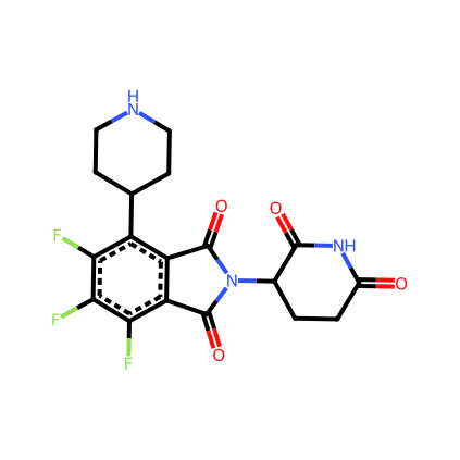 O=C1CCC(N2C(=O)c3c(F)c(F)c(F)c(C4CCNCC4)c3C2=O)C(=O)N1